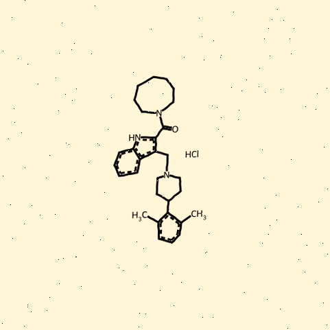 Cc1cccc(C)c1C1CCN(Cc2c(C(=O)N3CCCCCCC3)[nH]c3ccccc23)CC1.Cl